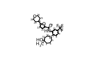 C[C@@]1(O)CCCN(c2ccc(C(F)(F)F)cc2NC(=O)c2ccc(C3CCOCC3)o2)CC1